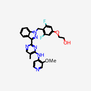 COc1cnccc1Nc1nc(-c2nn(Cc3c(F)cc(OCCO)cc3F)c3ccccc23)ncc1C